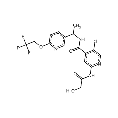 CCC(=O)Nc1cc(C(=O)NC(C)c2ccc(OCC(F)(F)F)nc2)c(Cl)cn1